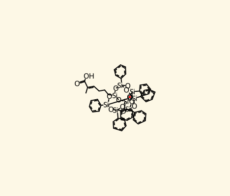 C/C(=C\CCC[Si]12O[Si]3(c4ccccc4)O[Si]4(c5ccccc5)O[Si](c5ccccc5)(O1)O[Si]1(c5ccccc5)O[Si](c5ccccc5)(O2)O[Si](c2ccccc2)(O3)O[Si](c2ccccc2)(O4)O1)C(=O)O